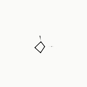 Cl.N[C@@H]1CC[C@H]1O